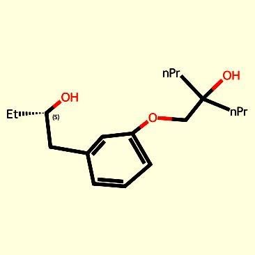 CCCC(O)(CCC)COc1cccc(C[C@@H](O)CC)c1